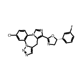 Fc1cccc([C@@H]2CN=C(c3ncn4c3Cc3cnnn3-c3cc(Cl)ccc3-4)O2)c1